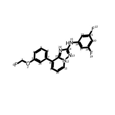 FCOc1cccc(-c2cccn3nc(Nc4cc(F)cc(F)c4)nc23)c1